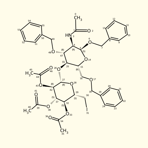 CC(=O)N[C@H]1[C@@H](OCc2ccccc2)O[C@H](COCc2ccccc2)[C@@H](O[C@@H]2O[C@H](CI)[C@@H](OC(C)=O)[C@H](OC(C)=O)[C@H]2OC(C)=O)[C@@H]1OCc1ccccc1